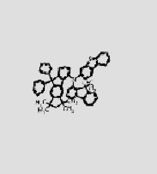 CC1(C)CC(C)(C)c2cc3c(cc21)-c1c(N(c2ccc4c(c2)sc2ccccc24)c2cccc4c2C(C)(C)c2ccccc2-4)cccc1C3(c1ccccc1)c1ccccc1